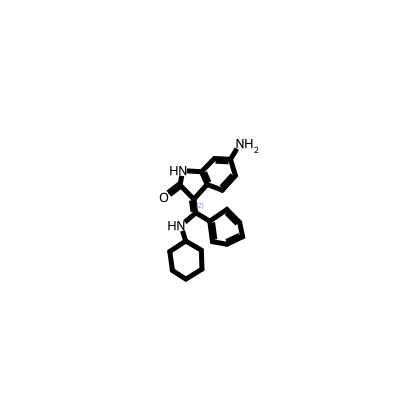 Nc1ccc2c(c1)NC(=O)/C2=C(\NC1CCCCC1)c1ccccc1